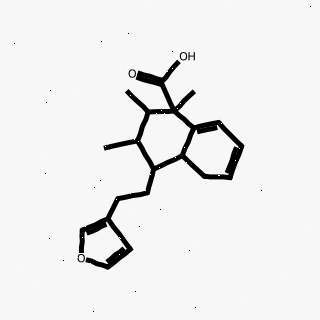 CC1C(CCc2ccoc2)C2CC=CC=C2C(C)(C(=O)O)C1C